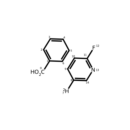 O=C(O)c1ccccc1.[2H]c1ccc(F)nc1